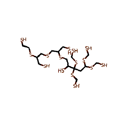 SCCSC(CS)CSCC(CS)SCC(S)C(CC(SCS)SCS)(SCS)SCS